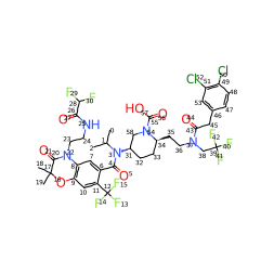 CC(C)N(C(=O)c1cc2c(cc1C(F)(F)F)OC(C)(C)C(=O)N2CCNC(=O)C(F)F)[C@@H]1CC[C@H](CCN(CC(F)(F)F)C(=O)Cc2ccc(Cl)c(Cl)c2)N(C(=O)O)C1